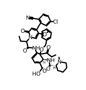 CCC(=O)C1(OCc2ccccc2)C(NC(=O)C(CC)n2cc(OC)c(-c3cc(Cl)ccc3C#N)cc2=O)=CC=C(C(=O)O)[C@@H]1NC(=O)[C@H]1CCCCN1C